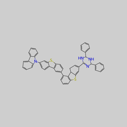 C1=C(C2=NC(c3ccccc3)NC(c3ccccc3)N2)C=C2Sc3cccc(-c4ccc5sc6cc(-n7c8ccccc8c8ccccc87)ccc6c5c4)c3C2C1